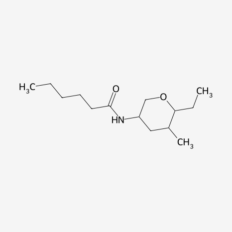 CCCCCC(=O)NC1COC(CC)C(C)C1